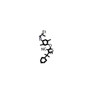 CCN(C)/C=N\c1cc(C)c(Oc2snc(C(C)(C)c3ccccc3)c2C#N)cc1C